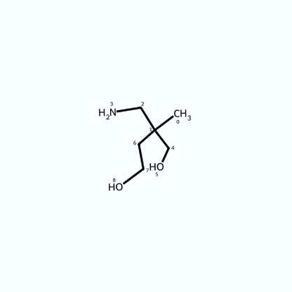 CC(CN)(CO)CCO